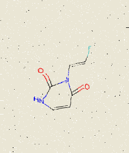 O=c1cc[nH]c(=O)n1C=CF